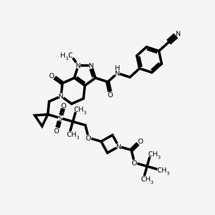 Cn1nc(C(=O)NCc2ccc(C#N)cc2)c2c1C(=O)N(CC1(S(=O)(=O)C(C)(C)COC3CN(C(=O)OC(C)(C)C)C3)CC1)CC2